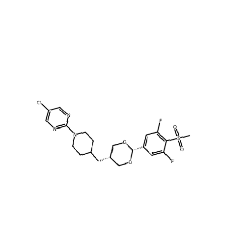 CS(=O)(=O)c1c(F)cc([C@H]2OC[C@@H](CC3CCN(c4ncc(Cl)cn4)CC3)CO2)cc1F